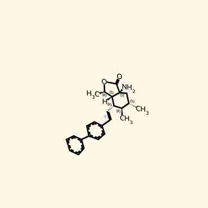 C[C@H]1[C@H](/C=C/c2ccc(-c3ccccc3)cc2)[C@@H]2[C@@H](C)OC(=O)[C@]2(N)C[C@@H]1C